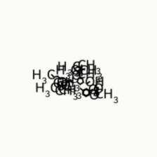 CCCCCC(/C=C/[C@@H]1[C@@H](Cc2cccc(OS(C)(=O)=O)c2)[C@@H](CO)C[C@H]1O[Si](C)(C)C(C)(C)C)O[Si](C)(C)C(C)(C)C